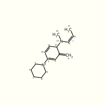 C=C1C=C(N2CCCCC2)C=CC1N(C)/C=C\C